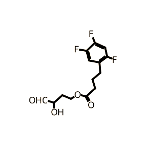 O=CC(O)CCOC(=O)CCCc1cc(F)c(F)cc1F